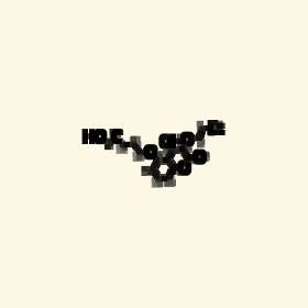 CC/C=C/Oc1c(O)c2c(OCCCC(=O)O)cccc2oc1=O